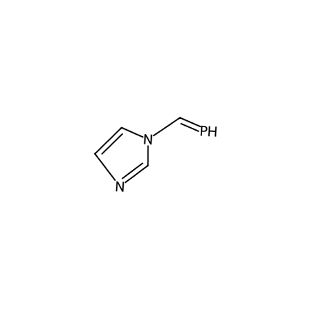 P=Cn1ccnc1